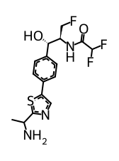 CC(N)c1ncc(-c2ccc([C@H](O)[C@@H](CF)NC(=O)C(F)F)cc2)s1